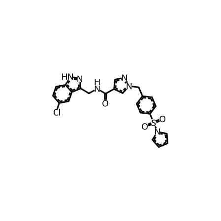 O=C(NCc1n[nH]c2ccc(Cl)cc12)c1cnn(Cc2ccc(S(=O)(=O)n3cccc3)cc2)c1